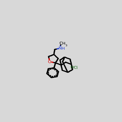 CNCC1COC(c2ccccc2)(C23CC4CC(CC(C4)C2)C3)C1.Cl